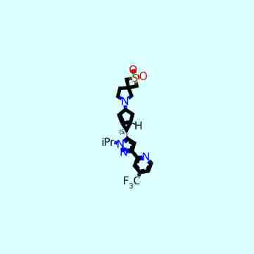 CC(C)n1nc(-c2cc(C(F)(F)F)ccn2)cc1[C@@H]1C2=CC(N3CCC4(C3)CS(=O)(=O)C4)C[C@H]21